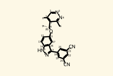 Cc1cnnc(C)c1[C@@H](C)Oc1ccc2[nH]nc(-c3cc(C#N)cc(C#N)c3)c2c1